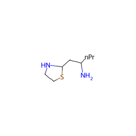 CCCC(N)CC1NCCS1